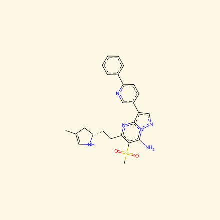 CC1=CN[C@@H](CCc2nc3c(-c4ccc(-c5ccccc5)nc4)cnn3c(N)c2S(C)(=O)=O)C1